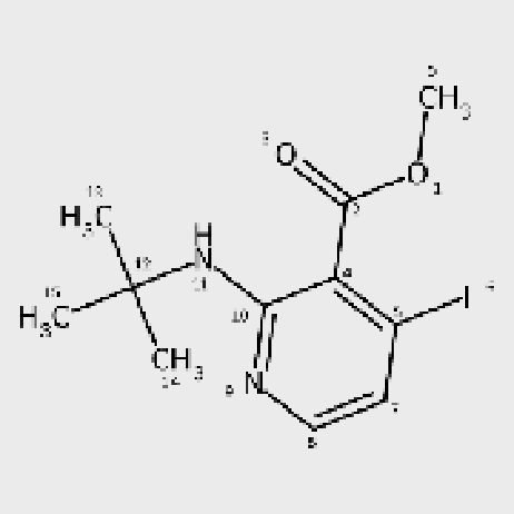 COC(=O)c1c(I)ccnc1NC(C)(C)C